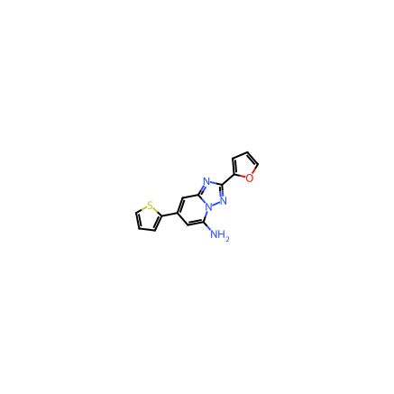 Nc1cc(-c2cccs2)cc2nc(-c3ccco3)nn12